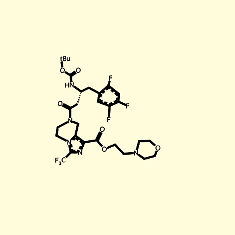 CC(C)(C)OC(=O)N[C@@H](CC(=O)N1CCn2c(C(F)(F)F)nc(C(=O)OCCN3CCOCC3)c2C1)Cc1cc(F)c(F)cc1F